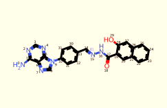 Nc1ncnc2c1ncn2-c1ccc(/C=N/NC(=O)c2cc3ccccc3cc2O)cc1